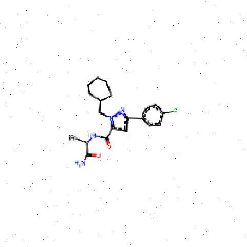 CC(C)C(NC(=O)c1cc(-c2ccc(F)cc2)nn1CC1CCCCC1)C(N)=O